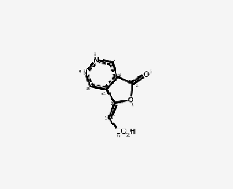 O=C(O)C=C1OC(=O)c2cnncc21